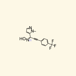 Cn1nccc1/C(C#Cc1ccc(C(F)(F)F)cc1)=N\O